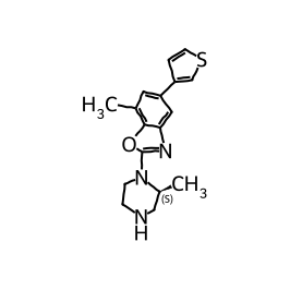 Cc1cc(-c2ccsc2)cc2nc(N3CCNC[C@@H]3C)oc12